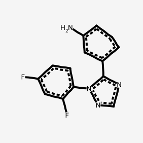 Nc1cccc(-c2ncnn2-c2ccc(F)cc2F)c1